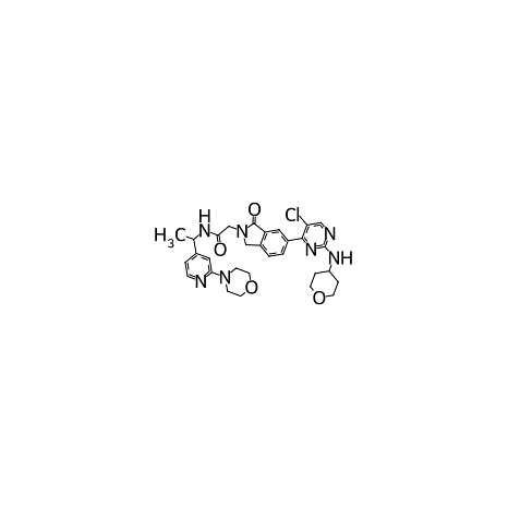 CC(NC(=O)CN1Cc2ccc(-c3nc(NC4CCOCC4)ncc3Cl)cc2C1=O)c1ccnc(N2CCOCC2)c1